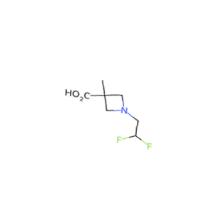 CC1(C(=O)O)CN(CC(F)F)C1